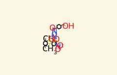 Cc1ccc(C)c(Sc2ccc([N+](=O)[O-])cc2S(=O)(=O)N2CCN(C(=O)c3ccc(CO)cc3)CC2)c1